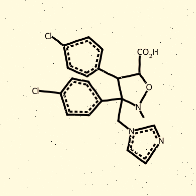 CN1OC(C(=O)O)C(c2ccc(Cl)cc2)C1(Cn1ccnc1)c1ccc(Cl)cc1